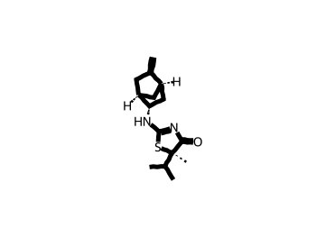 C=C1C[C@H]2C[C@@H]1C[C@@H]2NC1=NC(=O)[C@@](C)(C(C)C)S1